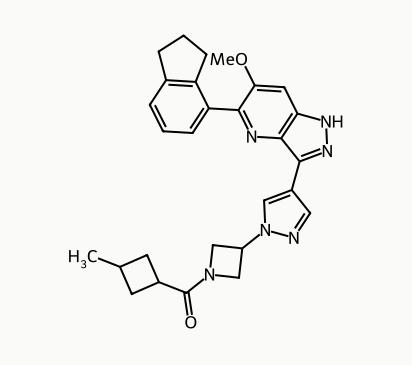 COc1cc2[nH]nc(-c3cnn(C4CN(C(=O)C5CC(C)C5)C4)c3)c2nc1-c1cccc2c1CCC2